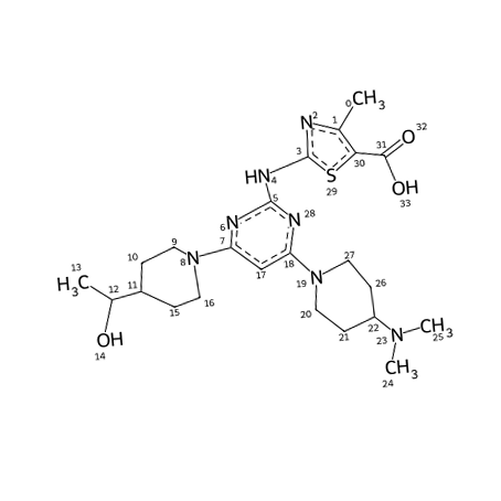 Cc1nc(Nc2nc(N3CCC(C(C)O)CC3)cc(N3CCC(N(C)C)CC3)n2)sc1C(=O)O